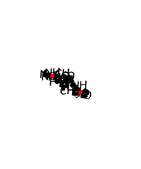 Cc1cc(-c2cc(C)c(OCc3nnc[nH]3)c(F)c2)c2c(c1)n(CC(=O)Nc1cccc(N3CCOCC3)c1)c(=O)n2C